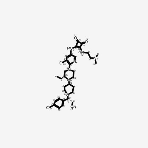 CC[C@H]1CN(c2ncc(Nc3c(NCCN(C)C)c(=O)c3=O)cc2Cl)CCN1C1CCN([C@H](CO)c2ccc(Cl)cc2)CC1